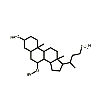 COC1CCC2(C)C(C1)CC(OC(C)C)C1C2CCC2(C)C(C(C)CCC(=O)O)CCC12